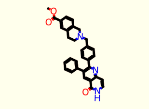 COC(=O)c1ccc2c(c1)CCN(Cc1ccc(-c3nc4cc[nH]c(=O)c4cc3-c3ccccc3)cc1)C2